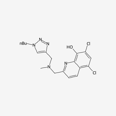 CCCCn1cc(CN(C)Cc2ccc3c(Cl)cc(Cl)c(O)c3n2)nn1